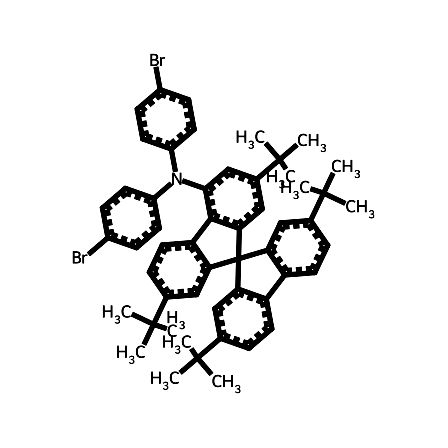 CC(C)(C)c1ccc2c(c1)C1(c3cc(C(C)(C)C)ccc3-2)c2cc(C(C)(C)C)ccc2-c2c(N(c3ccc(Br)cc3)c3ccc(Br)cc3)cc(C(C)(C)C)cc21